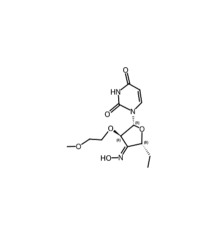 CC[C@H]1O[C@@H](n2ccc(=O)[nH]c2=O)[C@H](OCCOC)C1=NO